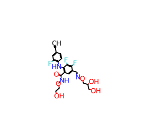 C#Cc1ccc(Nc2c(C(=O)NOCCO)cc(C=NOCC(O)CO)c(F)c2F)c(F)c1